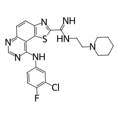 N=C(NCCN1CCCCC1)c1nc2ccc3ncnc(Nc4ccc(F)c(Cl)c4)c3c2s1